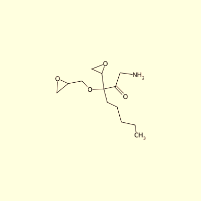 CCCCCC(OCC1CO1)(C(=O)CN)C1CO1